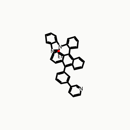 CCc1nc2ccccc2n1-c1ccccc1-c1c2ccccc2c(-c2cccc(-c3cccnc3)c2)c2ccccc12